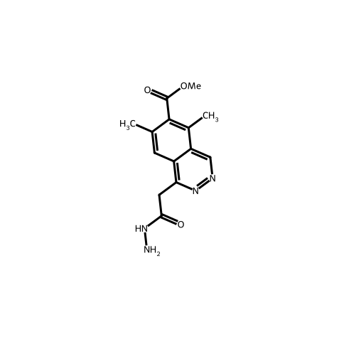 COC(=O)c1c(C)cc2c(CC(=O)NN)nncc2c1C